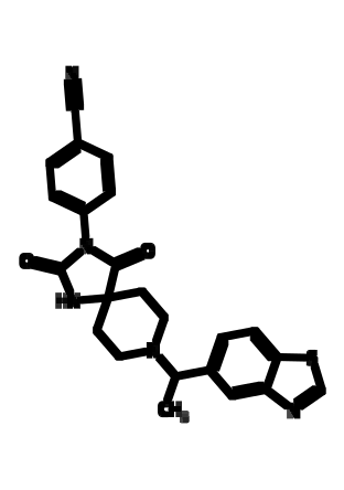 CC(c1ccc2scnc2c1)N1CCC2(CC1)NC(=O)N(c1ccc(C#N)cc1)C2=O